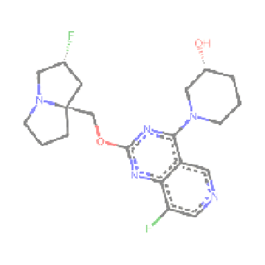 O[C@@H]1CCCN(c2nc(OC[C@@]34CCCN3C[C@H](F)C4)nc3c(F)cncc23)C1